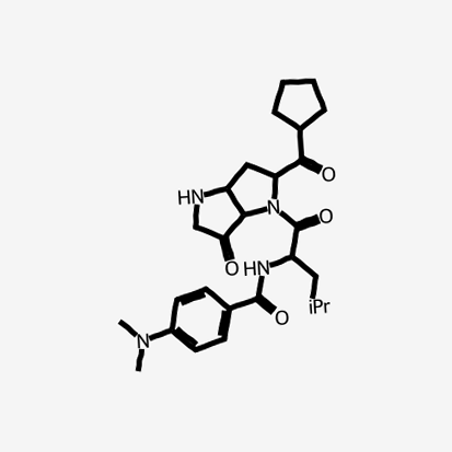 CC(C)CC(NC(=O)c1ccc(N(C)C)cc1)C(=O)N1C(C(=O)C2CCCC2)CC2NCC(=O)C21